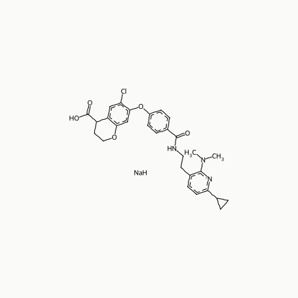 CN(C)c1nc(C2CC2)ccc1CCNC(=O)c1ccc(Oc2cc3c(cc2Cl)C(C(=O)O)CCO3)cc1.[NaH]